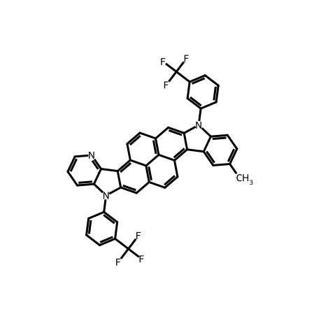 Cc1ccc2c(c1)c1c3ccc4cc5c(c6ccc(cc1n2-c1cccc(C(F)(F)F)c1)c3c46)c1ncccc1n5-c1cccc(C(F)(F)F)c1